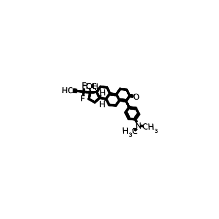 C#CC(F)(F)[C@]1(O)CC[C@H]2[C@@H]3CCC4=C(c5ccc(N(C)C)cc5)C(=O)CCC4=C3CC[C@@]21C